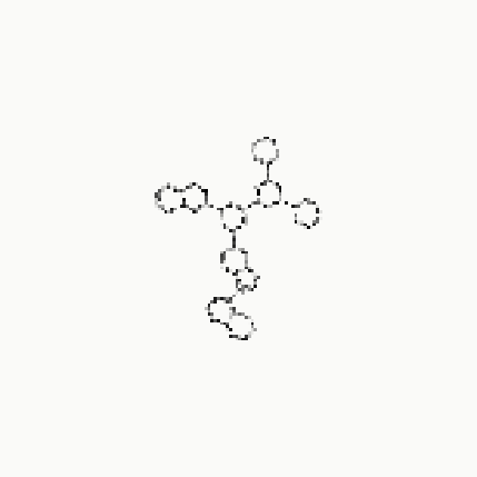 c1ccc(-c2cc(-c3ccccc3)cc(-c3cc(-c4ccc5ccccc5c4)cc(-c4ccc5c(ccn5-c5cccc6ccccc56)c4)c3)c2)cc1